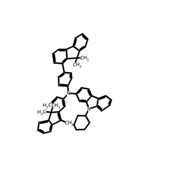 C=C/C(=C\C1=C(C)c2ccccc2C1(C)C)N(c1ccc(-c2cccc3c2C(C)(C)c2ccccc2-3)cc1)c1ccc2c3ccccc3n(C3CCCCC3)c2c1